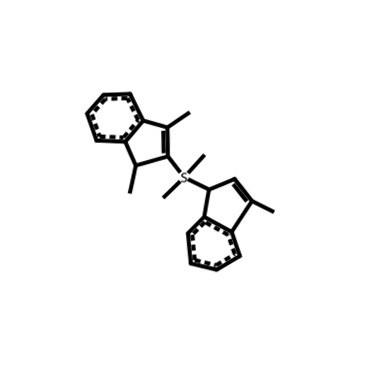 CC1=CC(S(C)(C)C2=C(C)c3ccccc3C2C)c2ccccc21